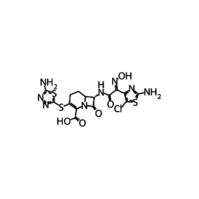 Nc1nnc(SC2=C(C(=O)O)N3C(=O)[C@H](NC(=O)C(=NO)c4nc(N)sc4Cl)C3CC2)s1